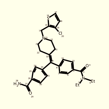 CCN(CC)C(=O)c1ccc(C(=C2CCN(Cc3sccc3Cl)CC2)c2ccc(C(N)=O)cc2)cc1